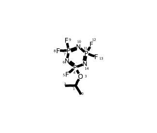 CC(C)OP1(F)=NP(F)(F)=NP(F)(F)=N1